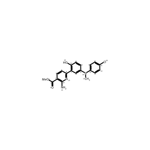 COC(=O)c1ccc(-c2cc(N(C)c3ccc(Cl)cc3)ccc2O)nc1N